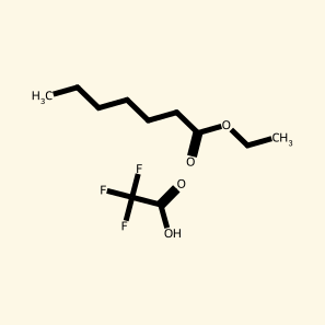 CCCCCCC(=O)OCC.O=C(O)C(F)(F)F